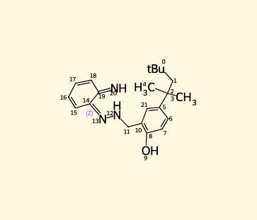 CC(C)(C)CC(C)(C)c1ccc(O)c(CN/N=C2/C=CC=CC2=N)c1